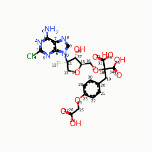 Nc1nc(Cl)nc2c1ncn2[C@]1(F)CO[C@H](COC(Cc2ccc(OCC(=O)O)cc2)(C(=O)O)C(=O)O)[C@H]1O